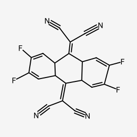 N#CC(C#N)=C1C2C=C(F)C(F)=CC2C(=C(C#N)C#N)C2C=C(F)C(F)=CC12